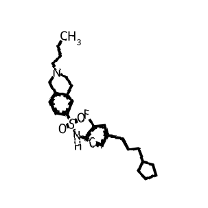 CCCCN1CCc2cc(S(=O)(=O)Nc3ccc(CCCC4CCCC4)cc3F)ccc2C1